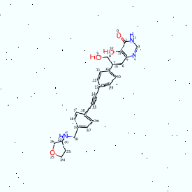 O=c1[nH]cnc(C[C@H](CO)c2ccc(C#Cc3ccc(CN[C@H]4CCOC4)cc3)cc2)c1O